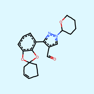 O=Cc1cn(C2CCCCO2)nc1-c1cccc2c1OC1(CC=CCC1)O2